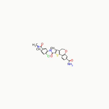 CN(C)C(=O)c1ccc(Cl)c(N(C)C(=O)c2cc3c(s2)-c2ccc(C(N)=O)cc2OCC3)c1